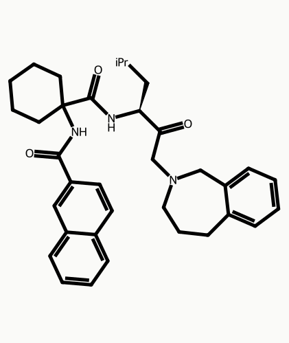 CC(C)C[C@H](NC(=O)C1(NC(=O)c2ccc3ccccc3c2)CCCCC1)C(=O)CN1CCCc2ccccc2C1